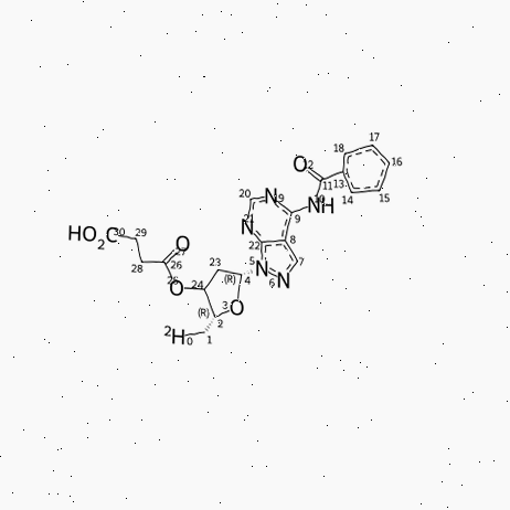 [2H]C[C@H]1O[C@@H](n2ncc3c(NC(=O)c4ccccc4)ncnc32)CC1OC(=O)CCC(=O)O